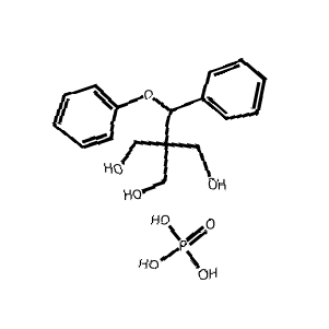 O=P(O)(O)O.OCC(CO)(CO)C(Oc1ccccc1)c1ccccc1